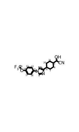 N#CC(O)C1CCC(c2ncn(-c3ccc(OC(F)(F)F)cc3)n2)CC1